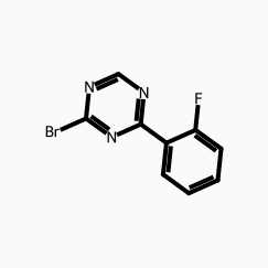 Fc1ccccc1-c1ncnc(Br)n1